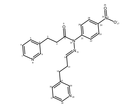 O=C(CCc1cccnc1)N(N=CCCc1cccnc1)c1ccc([N+](=O)[O-])cc1